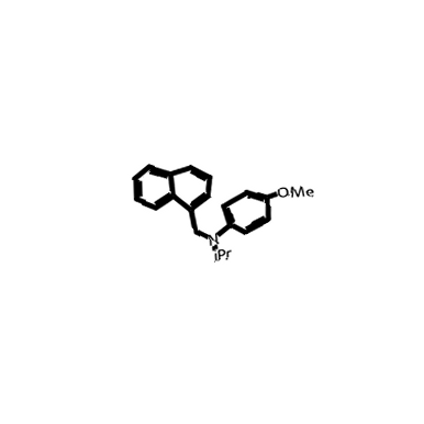 COc1ccc(N(Cc2cccc3ccccc23)C(C)C)cc1